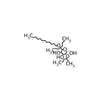 CCCCCCCCCCCCOC(CCC)(CCCC)C1O[C@H](CO)[C@@H](OC(CC)CCC)[C@H](O)[C@H]1O